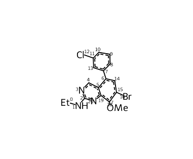 CCNc1ncc2c(-c3cccc(Cl)c3)cc(Br)c(OC)c2n1